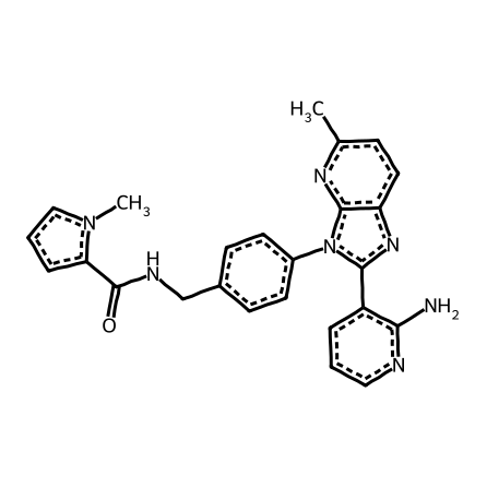 Cc1ccc2nc(-c3cccnc3N)n(-c3ccc(CNC(=O)c4cccn4C)cc3)c2n1